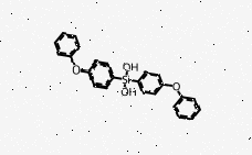 O[Si](O)(c1ccc(Oc2ccccc2)cc1)c1ccc(Oc2ccccc2)cc1